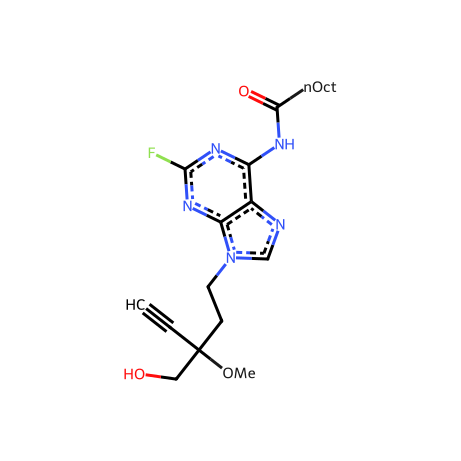 C#CC(CO)(CCn1cnc2c(NC(=O)CCCCCCCC)nc(F)nc21)OC